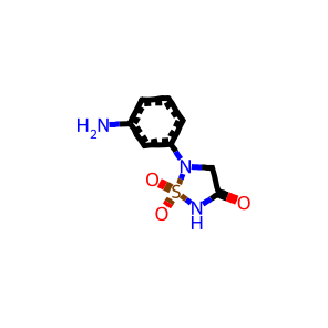 Nc1cccc(N2CC(=O)NS2(=O)=O)c1